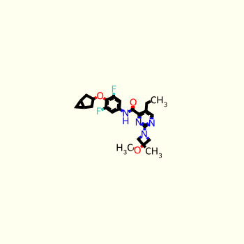 CCc1cnc(N2CC(C)(OC)C2)nc1C(=O)Nc1cc(F)c(OC2CC3CC3C2)c(F)c1